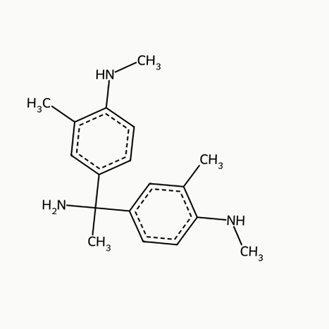 CNc1ccc(C(C)(N)c2ccc(NC)c(C)c2)cc1C